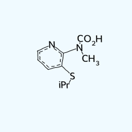 CC(C)Sc1cccnc1N(C)C(=O)O